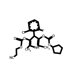 CC1=C(OC(=O)OCCC#N)C(c2c(F)cccc2Cl)C(OC(=O)OC2CCCC2)=C(C)N1